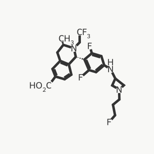 C[C@@H]1Cc2cc(C(=O)O)ccc2[C@@H](c2c(F)cc(NC3CN(CCCF)C3)cc2F)N1CC(F)(F)F